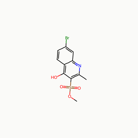 COS(=O)(=O)c1c(C)nc2cc(Br)ccc2c1O